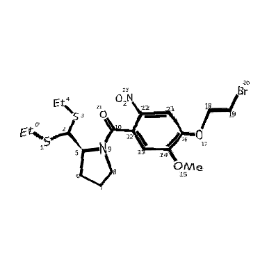 CCSC(SCC)[C@@H]1CCCN1C(=O)c1cc(OC)c(OCCBr)cc1[N+](=O)[O-]